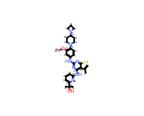 Cc1csc2nc(Nc3ccc(N4CCC(N5CCC5)CC4)c(OC(C)C)c3)nc(Nc3cccc(C(C)(C)O)n3)c12